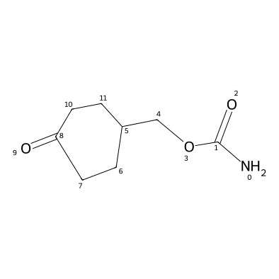 NC(=O)OCC1CCC(=O)CC1